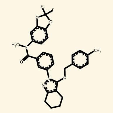 Cc1ccc(COc2c3c(nn2-c2cccc(C(=O)N(C)c4ccc5c(c4)OC(F)(F)O5)c2)CCCC3)cc1